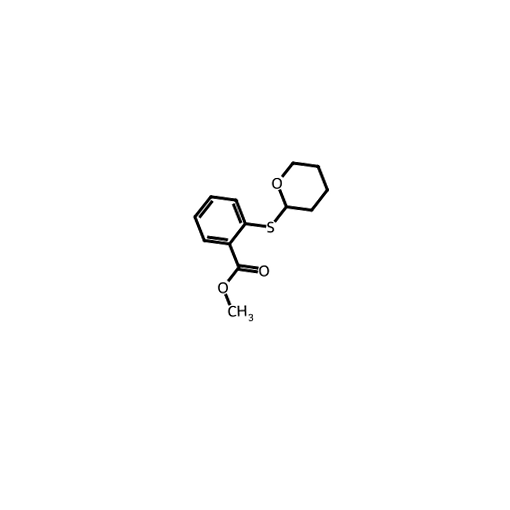 COC(=O)c1ccccc1SC1CCCCO1